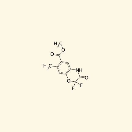 COC(=O)c1cc2c(cc1C)OC(F)(F)C(=O)N2